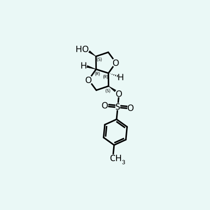 Cc1ccc(S(=O)(=O)O[C@H]2CO[C@H]3[C@H]2OC[C@@H]3O)cc1